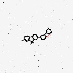 Cc1ccc2c(c1)C(C)(C)c1cc(-c3ccc4oc5ccccc5c4c3)ccc1-2